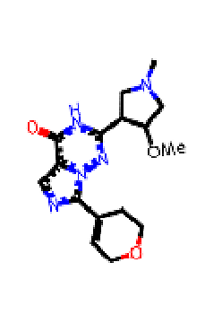 COC1CN(C)CC1c1nn2c(C3=CCOCC3)ncc2c(=O)[nH]1